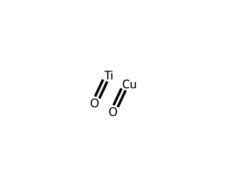 [O]=[Cu].[O]=[Ti]